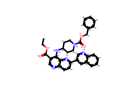 CCOC(=O)c1cnc2ccc(-c3cnc4ccccc4c3)nc2c1NC1CCN(C(=O)OCc2ccccc2)CC1